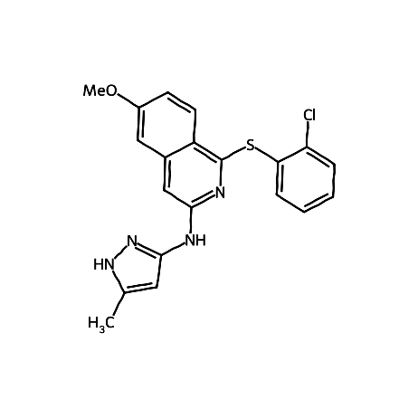 COc1ccc2c(Sc3ccccc3Cl)nc(Nc3cc(C)[nH]n3)cc2c1